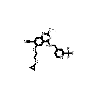 Cc1nc(NCc2ccnc(C(F)(F)F)c2)c2cc(OCCOC3CC3)c(C#N)cc2n1